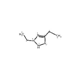 CCC1=NN(CC)N[N]1